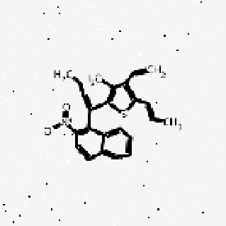 C=Cc1c(C=CC)sc(/C(=C\CC)c2c([N+](=O)[O-])ccc3ccccc23)c1C